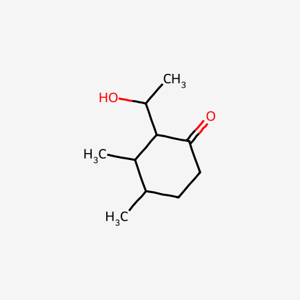 CC(O)C1C(=O)CCC(C)C1C